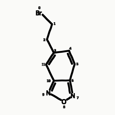 BrCCc1ccc2nonc2c1